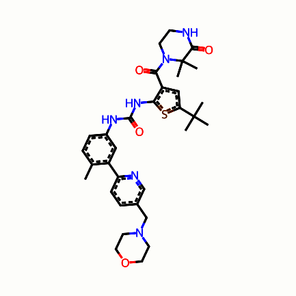 Cc1ccc(NC(=O)Nc2sc(C(C)(C)C)cc2C(=O)N2CCNC(=O)C2(C)C)cc1-c1ccc(CN2CCOCC2)cn1